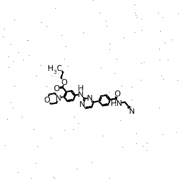 CCCOC(=O)c1cc(Nc2nccc(-c3ccc(C(=O)NCC#N)cc3)n2)ccc1N1CCOCC1